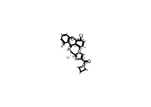 C[C@@H]1N=C(c2c(F)cccc2F)c2c(ccc(Cl)c2Cl)-n2cc(C(=O)N3CCC3)nc21